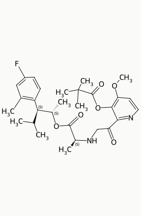 COc1ccnc(C(=O)CN[C@@H](C)C(=O)O[C@@H](C)[C@H](c2ccc(F)cc2C)C(C)C)c1OC(=O)C(C)(C)C